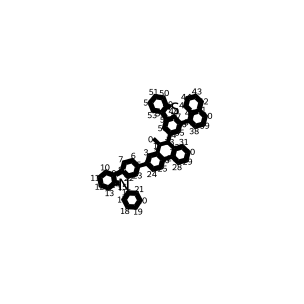 CC1c2cc(-c3ccc4c5ccccc5n(-c5ccccc5)c4c3)ccc2-c2ccccc2C1c1cc(-c2cccc3ccccc23)c2sc3ccccc3c2c1